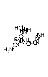 Cl.NC[C@H]1CC[C@H](C(=O)N(C(=O)[C@@H](N)Cc2ccc(-c3ccnc(N4CCNCC4)c3)cc2)c2ccc(-c3nn[nH]n3)cc2)CC1